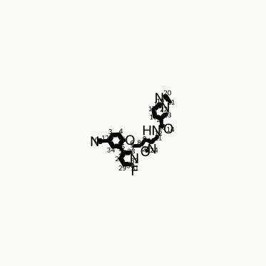 N#Cc1ccc(OCC2CC(CNC(=O)c3ccc4nccn4c3)=NO2)c(-c2ccc(F)nc2)c1